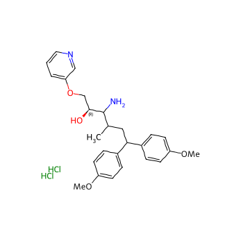 COc1ccc(C(CC(C)C(N)[C@@H](O)COc2cccnc2)c2ccc(OC)cc2)cc1.Cl.Cl